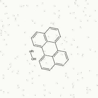 CCCO.c1cc2cccc3c4cccc5cccc(c(c1)c23)c54